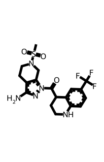 CS(=O)(=O)N1CCc2c(N)nn(C(=O)C3CCNc4ccc(C(F)(F)F)cc43)c2C1